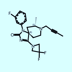 CC#CCN1CC[C@@]2(C[C@@H]1C)C(N1CC(F)(F)C1)=NC(=O)N2c1cccc(F)c1